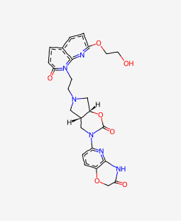 O=C1COc2ccc(N3C[C@@H]4CN(CCn5c(=O)ccc6ccc(OCCO)nc65)C[C@@H]4OC3=O)nc2N1